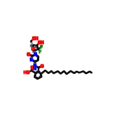 CCCCCCCCCCCCCCCCc1cccc(C(=O)O)c1C(=O)Nc1ccn([C@@H]2O[C@H](CO)[C@@H](O)C2(F)F)c(=O)n1